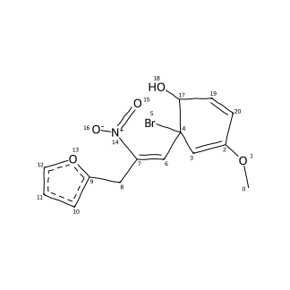 COC1=CC(Br)(C=C(Cc2ccco2)[N+](=O)[O-])C(O)C=C1